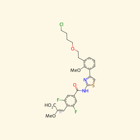 CO/C(=C/c1c(F)cc(C(=O)Nc2nc(-c3cccc(CCOCCCCCl)c3OC)cs2)cc1F)C(=O)O